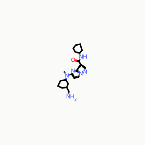 CN(c1ccn2ncc(C(=O)NC3CCCCC3)c2n1)C1CCCC(CN)C1